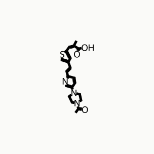 CC(=O)N1CCN(c2ccc(C=Cc3csc(C=C(C)C(=O)O)c3)nc2)CC1